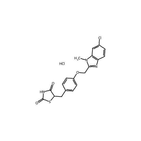 Cl.Cn1c(COc2ccc(CC3SC(=O)NC3=O)cc2)nc2ccc(Cl)cc21